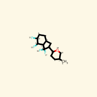 CC1CCC(C2CC3CCC(F)C(F)C3C2(F)F)OC1